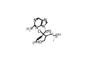 C[C@@H](O)[C@H]1O[C@@H](n2cnc3cnc(N)nc32)C(Cl)(C#CCl)C1CO